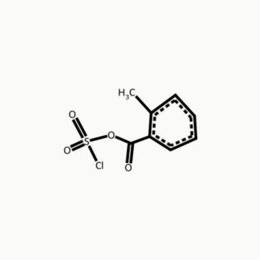 Cc1ccccc1C(=O)OS(=O)(=O)Cl